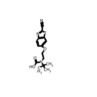 CC(C)(C)N(CCOc1ccc2nc(C#N)sc2c1)C(=O)O